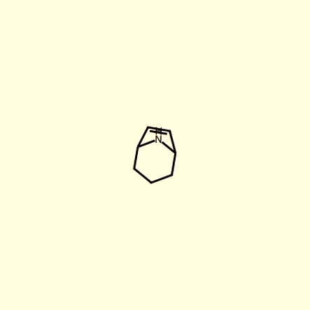 C1=CC2CCCC1N2